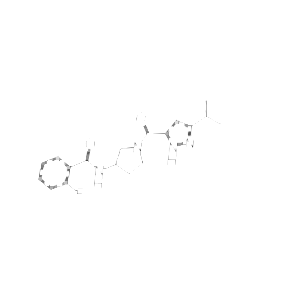 CC(C)c1cc(C(=O)N2CCC(NC(=O)c3ccccc3F)C2)[nH]n1